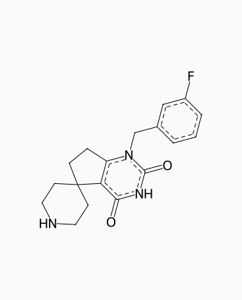 O=c1[nH]c(=O)n(Cc2cccc(F)c2)c2c1C1(CCNCC1)CC2